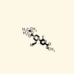 COC(=O)c1ccc(N2CCN(C(=O)OC(C)(C)C)C[C@@H]2CC#N)c(F)n1